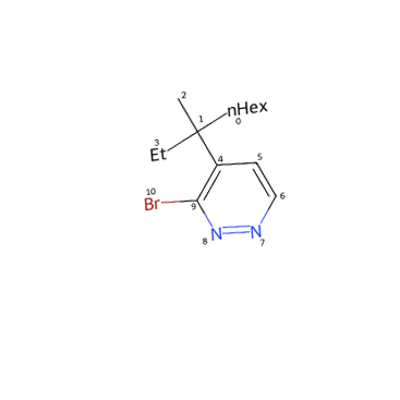 CCCCCCC(C)(CC)c1ccnnc1Br